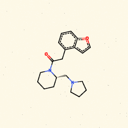 O=C(Cc1cccc2occc12)N1CCCC[C@H]1CN1CCCC1